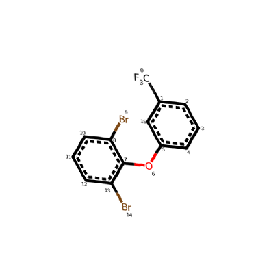 FC(F)(F)c1cccc(Oc2c(Br)cccc2Br)c1